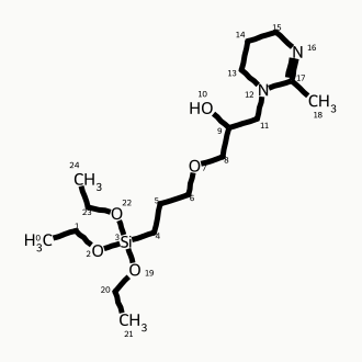 CCO[Si](CCCOCC(O)CN1CCCN=C1C)(OCC)OCC